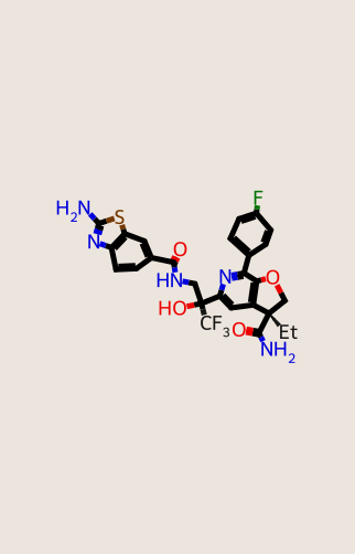 CC[C@]1(C(N)=O)COc2c1cc(C(O)(CNC(=O)c1ccc3nc(N)sc3c1)C(F)(F)F)nc2-c1ccc(F)cc1